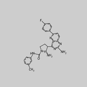 Cc1cccc(NC(=O)N2CCC(c3nc(N)nc4ccc(-c5ccc(F)cc5)nc34)[C@H]2N)c1